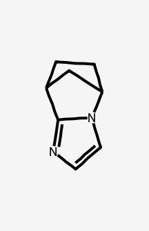 c1cn2c(n1)C1CCC2C1